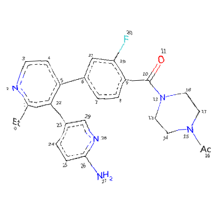 CCc1nccc(-c2ccc(C(=O)N3CCN(C(C)=O)CC3)c(F)c2)c1-c1ccc(N)nc1